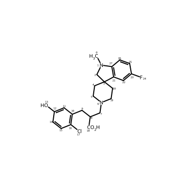 CN1CC2(CCN(CC(Cc3cc(O)ccc3Cl)C(=O)O)CC2)c2cc(F)ccc21